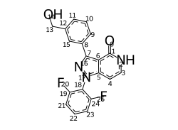 O=c1[nH]ccc2c1c(-c1cccc(CO)c1)nn2-c1c(F)cccc1F